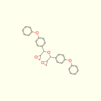 c1ccc(Oc2ccc(C(OC(c3ccc(Oc4ccccc4)cc3)C3CO3)C3CO3)cc2)cc1